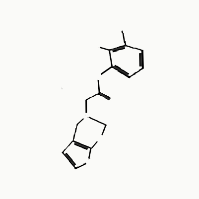 Cc1cccc(OC(=O)CN2CCc3sccc3C2)c1Cl.Cl